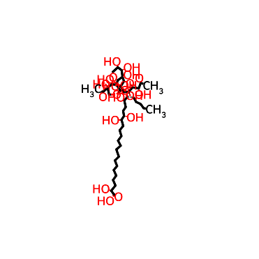 CCCCC[C@H](CCC[C@H](O)[C@H](O)CCCCCCCCCCCCC[C@H](O)C(=O)O)O[C@@H]1OC[C@](O)(C(C)=O)[C@H](O)[C@]1(O)[C@@H]1OC[C@@H](O)[C@H](O)[C@]1(O)[C@@H]1O[C@H]([C@@H](O)C(C)=O)[C@@H](O)[C@H](O)[C@H]1O